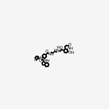 O=C(NCCCCNC[C@H](O)c1ccc(O)c2[nH]c(=O)ccc12)c1cccc(NC2(C(=O)O[C@H]3CN4CCC3CC4)CCc3ccccc32)c1